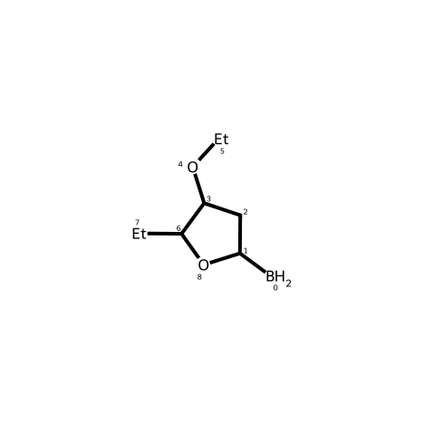 BC1CC(OCC)C(CC)O1